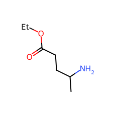 CCOC(=O)CCC(C)N